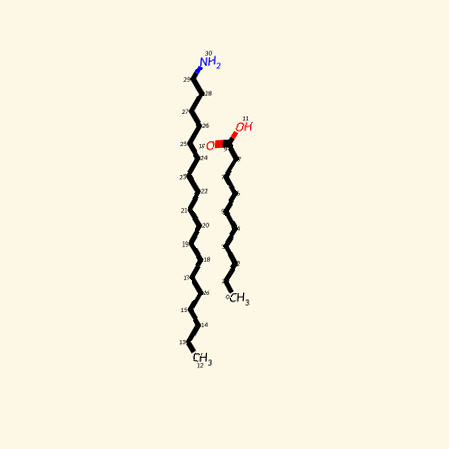 CCCCCCCCCC(=O)O.CCCCCCCCCCCCCCCCCCN